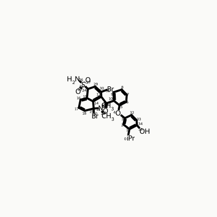 CC(C)c1cc(Oc2ccccc2C(=O)C2=C3C(=CC=CC3(Br)N(C)C)C(S(N)(=O)=O)C=C2Br)ccc1O